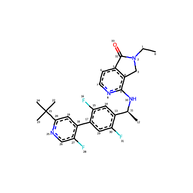 CCN1Cc2c(ccnc2N[C@@H](C)c2cc(F)c(-c3cc(C(C)(C)C)ncc3F)cc2F)C1=O